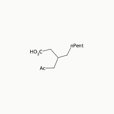 CCCCCCC(CC(C)=O)CC(=O)O